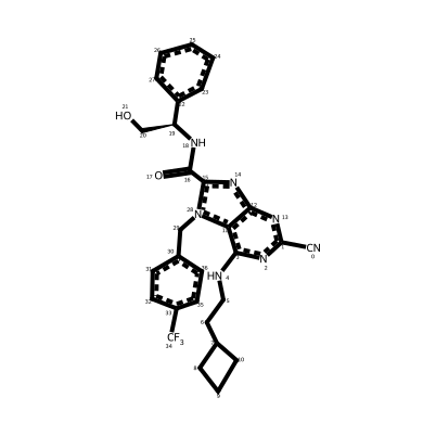 N#Cc1nc(NCCC2CCC2)c2c(n1)nc(C(=O)N[C@@H](CO)c1ccccc1)n2Cc1ccc(C(F)(F)F)cc1